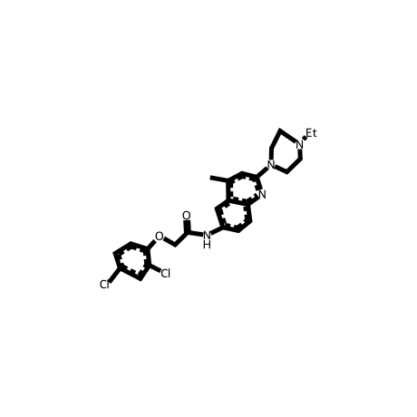 CCN1CCN(c2cc(C)c3cc(NC(=O)COc4ccc(Cl)cc4Cl)ccc3n2)CC1